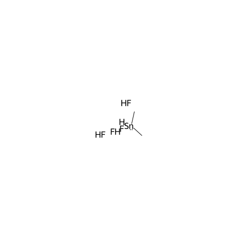 F.F.F.F.[CH3][Sn][CH3]